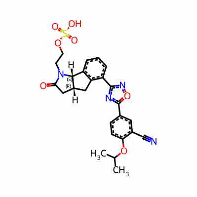 CC(C)Oc1ccc(-c2nc(-c3cccc4c3C[C@@H]3CC(=O)N(CCOS(=O)(=O)O)[C@H]43)no2)cc1C#N